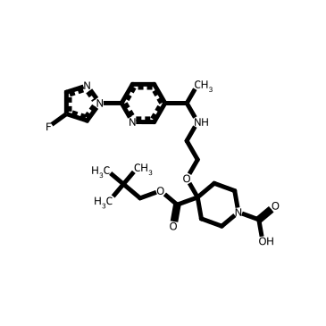 CC(NCCOC1(C(=O)OCC(C)(C)C)CCN(C(=O)O)CC1)c1ccc(-n2cc(F)cn2)nc1